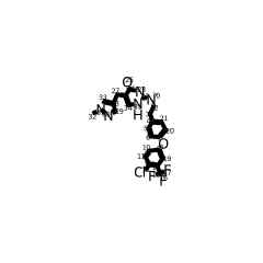 CN(CCc1ccc(Oc2ccc(Cl)c(C(F)(F)F)c2)cc1)c1nc(=O)c(Cc2cnn(C)c2)c[nH]1